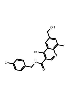 O=C(NCc1ccc(Cl)cc1)c1cnc2c(I)cc(CO)cc2c1O